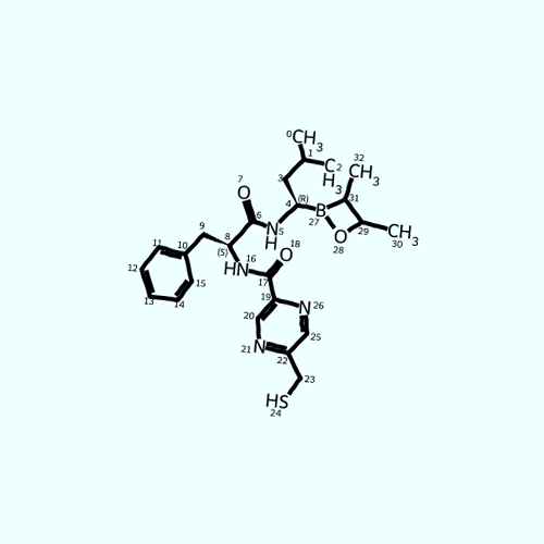 CC(C)C[C@H](NC(=O)[C@H](Cc1ccccc1)NC(=O)c1cnc(CS)cn1)B1OC(C)C1C